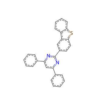 c1ccc(-c2cc(-c3ccccc3)nc(-c3ccc4sc5ccccc5c4c3)n2)cc1